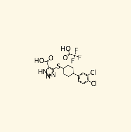 O=C(O)C(F)(F)F.O=C(O)c1[nH]nnc1SC1CCC(c2ccc(Cl)c(Cl)c2)CC1